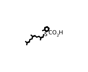 CC(C)=CCCC(C)=CCCC(C)=CCSc1c(C)cccc1C(=O)O